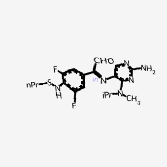 CCCSNc1c(F)cc(/C(C=O)=N/c2cnc(N)nc2N(C)C(C)C)cc1F